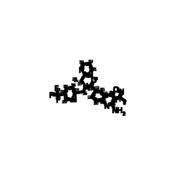 Cc1noc2c1c(N)nc1ccc(C(=O)N(Cc3ccc(C(F)(F)F)cn3)[C@H](C)c3ncccn3)cc12